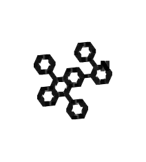 c1ccc(-c2ncccc2-c2ccc3c(-c4ccccc4)c4ccccc4c(-c4ccccc4)c3c2)cc1